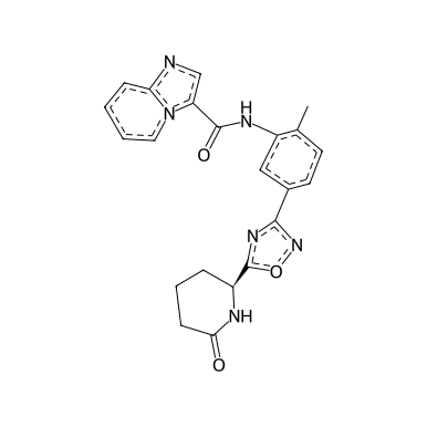 Cc1ccc(-c2noc([C@@H]3CCCC(=O)N3)n2)cc1NC(=O)c1cnc2ccccn12